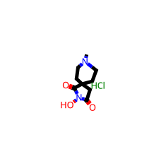 CN1CCC2(CC1)CC(=O)N(O)C2=O.Cl